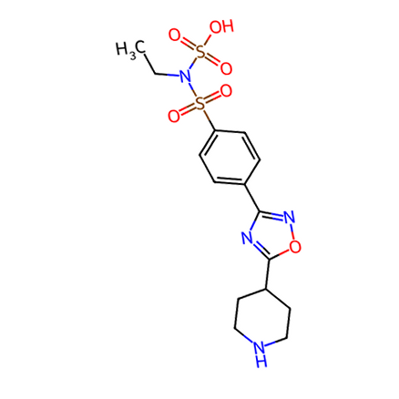 CCN(S(=O)(=O)O)S(=O)(=O)c1ccc(-c2noc(C3CCNCC3)n2)cc1